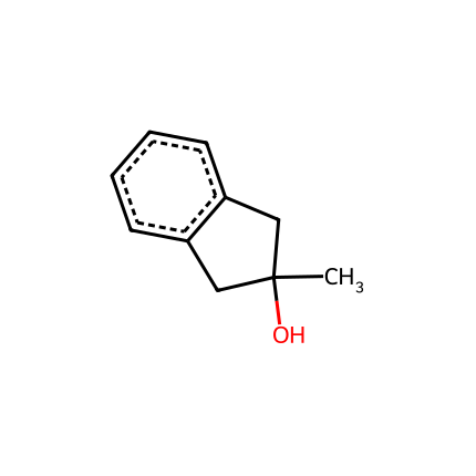 CC1(O)Cc2ccccc2C1